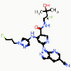 CC(C)(O)[C@H](F)CNC(=O)c1cnc(-n2ncc3cc(C#N)cnc32)cc1Nc1cnn(CCCF)c1